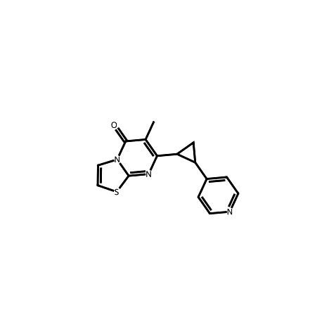 Cc1c(C2CC2c2ccncc2)nc2sccn2c1=O